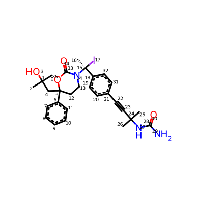 CC(C)(O)CC1(c2ccccc2)CCN([C@@](C)(I)c2ccc(C#CC(C)(C)NC(N)=O)cc2)C(=O)O1